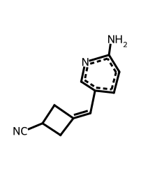 N#CC1CC(=Cc2ccc(N)nc2)C1